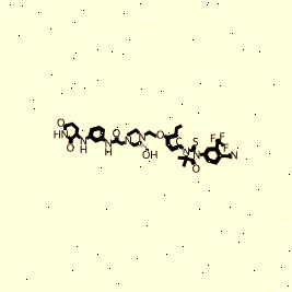 CCc1cc(N2C(=S)N(c3ccc(C#N)c(C(F)(F)F)c3)C(=O)C2(C)C)ccc1OCCN1CCN(CC(=O)Nc2cccc(NC3CCC(=O)NC3=O)c2)C[C@H]1CO